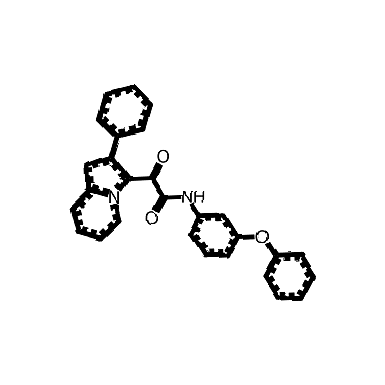 O=C(Nc1cccc(Oc2ccccc2)c1)C(=O)c1c(-c2ccccc2)cc2ccccn12